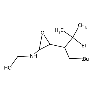 CCC(C)(C)C(CC(C)(C)C)C1OC1NCO